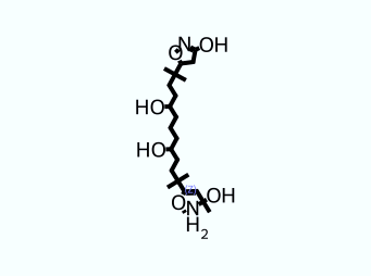 CO/C(=C\C(C)(N)O)C(C)(C)CCC(O)CCCC(O)CCC(C)(C)C1CC(O)=NO1